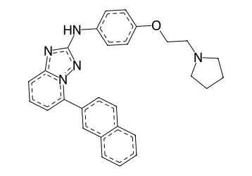 c1ccc2cc(-c3cccc4nc(Nc5ccc(OCCN6CCCC6)cc5)nn34)ccc2c1